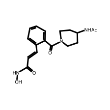 CC(=O)NC1CCN(C(=O)c2ccccc2C=CC(=O)NO)CC1